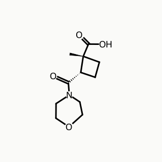 C[C@@]1(C(=O)O)CC[C@@H]1C(=O)N1CCOCC1